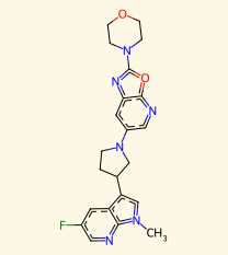 Cn1cc(C2CCN(c3cnc4oc(N5CCOCC5)nc4c3)C2)c2cc(F)cnc21